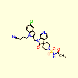 CC(=O)NS(=O)(=O)N1CCC2(CC1)C(=O)N(Cc1cc3cc(Cl)ccc3n1CCCC#N)c1cnccc12